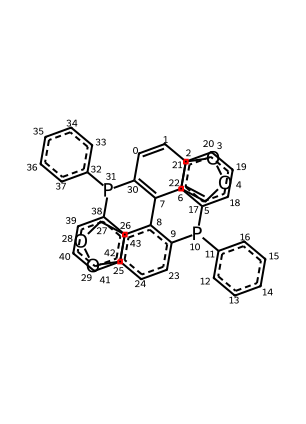 C1=CC2OOC=C2C(c2c(P(c3ccccc3)c3ccccc3)ccc3c2COO3)=C1P(c1ccccc1)c1ccccc1